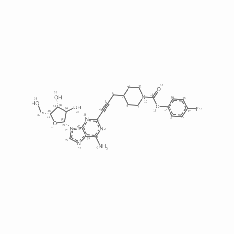 Nc1nc(C#CCC2CCN(C(=O)Oc3ccc(F)cc3)CC2)nc2c1ncn2[C@@H]1O[C@H](CO)[C@H](O)C1O